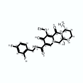 CCOc1c2n(cc(C(=O)NCc3ccc(F)cc3F)c1=O)C[C@]1(I)OCC[C@@H](C)N1C2=O